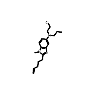 C=CCCCc1nc2cc(N(CCC)CCCl)ccc2n1C